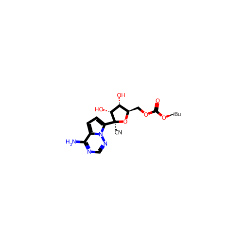 CC[C@H](C)OC(=O)OC[C@H]1O[C@@](C#N)(c2ccc3c(N)ncnn23)[C@H](O)[C@@H]1O